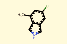 Cc1cc(Cl)cc2c[nH]cc12